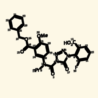 CCCN(C(=O)n1nnn(-c2c(F)cccc2C(=O)O)c1=O)c1ccc(OC)c(C(=O)OCc2ccccc2)c1